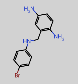 Nc1ccc(N)c(CNc2ccc(Br)cc2)c1